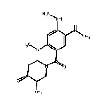 CNc1cc(C(=O)N2CCC(=O)C(C)C2)c(OC)cc1NN